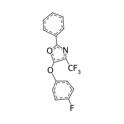 Fc1ccc(Oc2oc(-c3ccccc3)nc2C(F)(F)F)cc1